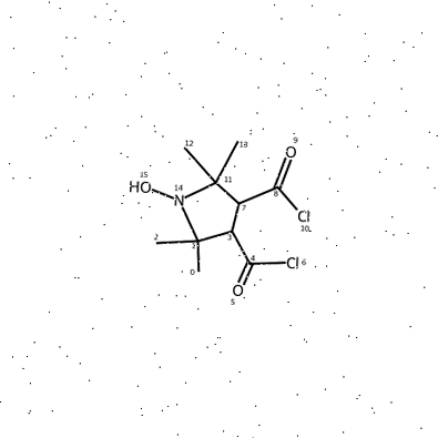 CC1(C)C(C(=O)Cl)C(C(=O)Cl)C(C)(C)N1O